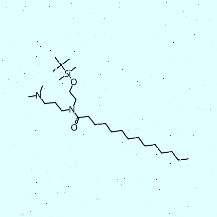 CCCCCCCCCCCCCC(=O)N(CCCN(C)C)CCO[Si](C)(C)C(C)(C)C